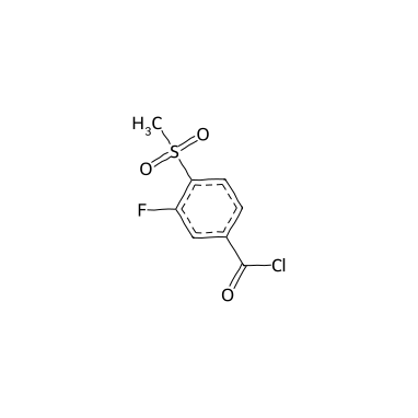 CS(=O)(=O)c1ccc(C(=O)Cl)cc1F